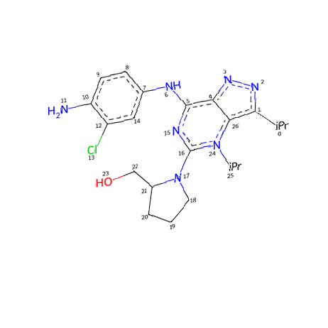 CC(C)c1nnc2c(Nc3ccc(N)c(Cl)c3)nc(N3CCCC3CO)n(C(C)C)c1-2